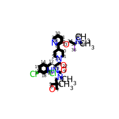 CN(CC1(C)COC1)C(=O)N[C@H](Cc1ccc(Cl)cc1Cl)C(=O)N1CCC(c2ncccc2OC[C@@H](I)N(C)C)CC1